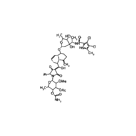 C=C1CCC(OC2CC(O)(C(C)NC(=O)c3[nH]c(C)c(Cl)c3Cl)C(O)C(C)O2)C2C=CCC(/C(O)=C3\C(=O)C(C(C)C)N(C4OC(C)C(OC(N)=O)C(OC(C)=O)C4OC)C3=O)C12